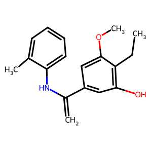 C=C(Nc1ccccc1C)c1cc(O)c(CC)c(OC)c1